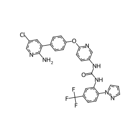 Nc1ncc(Cl)cc1-c1ccc(Oc2ccc(NC(=O)Nc3cc(C(F)(F)F)ccc3-n3cccn3)cn2)cc1